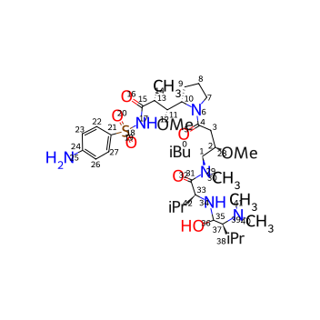 CC[C@H](C)[C@@H]([C@@H](CC(=O)N1CCC[C@H]1[C@H](OC)[C@@H](C)C(=O)NS(=O)(=O)c1ccc(N)cc1)OC)N(C)C(=O)[C@@H](NC(O)[C@H](C(C)C)N(C)C)C(C)C